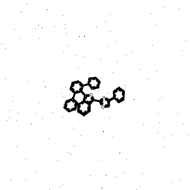 c1ccc(-c2coc(-c3oc(-c4c(-c5ccccc5)cccc4-c4ccccc4)c4ccccc34)n2)cc1